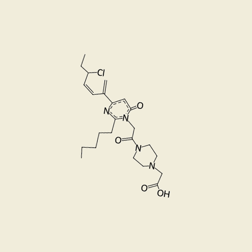 C=C(/C=C\C(Cl)CC)c1cc(=O)n(CC(=O)N2CCN(CC(=O)O)CC2)c(CCCCC)n1